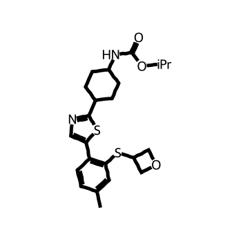 Cc1ccc(-c2cnc(C3CCC(NC(=O)OC(C)C)CC3)s2)c(SC2COC2)c1